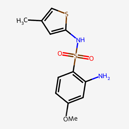 COc1ccc(S(=O)(=O)Nc2cc(C)cs2)c(N)c1